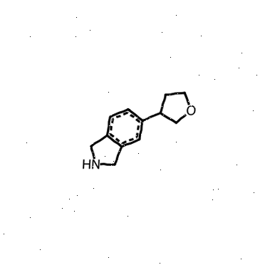 c1cc2c(cc1C1CCOC1)CNC2